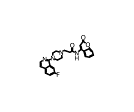 O=C(CCN1CCN(c2nccc3ccc(F)cc23)CC1)Nc1cc(=O)oc2ccccc12